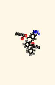 CNC(=O)OCc1cc(N)ccc1CO[Si](c1ccccc1)(c1ccccc1)C(C)(C)C